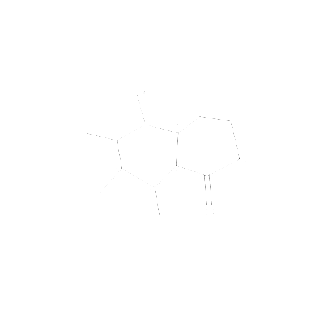 CC1C(C)C(C)C2C(=O)CCCC2C1C